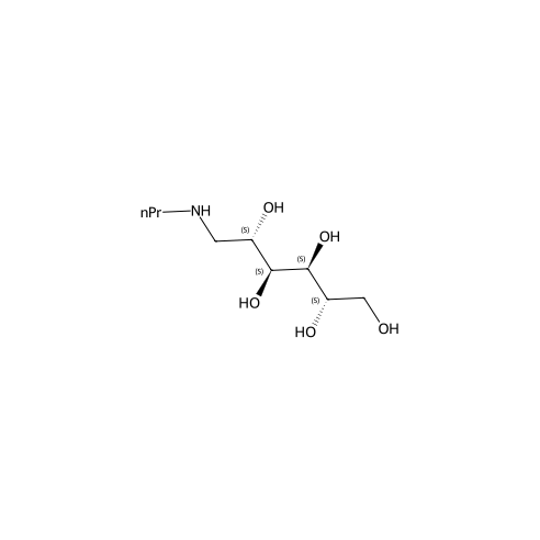 CCCNC[C@H](O)[C@H](O)[C@@H](O)[C@@H](O)CO